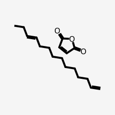 C=CCCCCCCCCC=CCC.O=C1C=CC(=O)O1